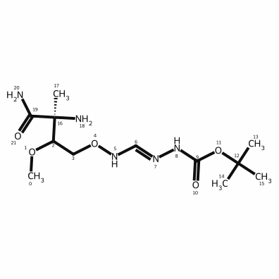 COC(CONC=NNC(=O)OC(C)(C)C)[C@](C)(N)C(N)=O